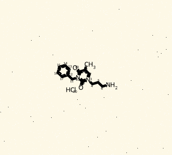 Cc1cn(CCCN)c(=O)n(Cc2ccccc2)c1=O.Cl